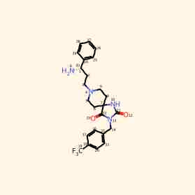 N[C@@H](CCN1CCC2(CC1)NC(=O)N(Cc1ccc(C(F)(F)F)cc1)C2=O)c1ccccc1